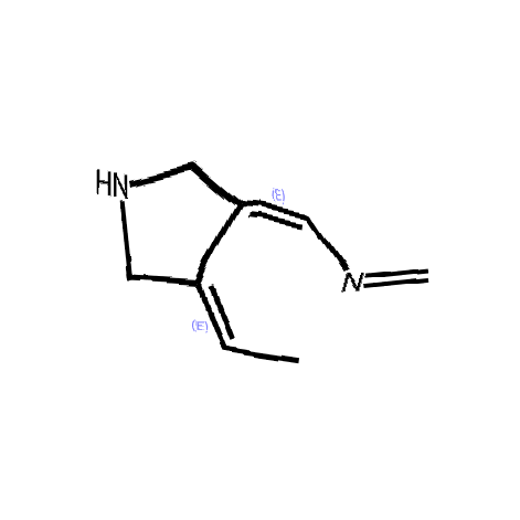 C=N/C=C1/CNC/C1=C/C